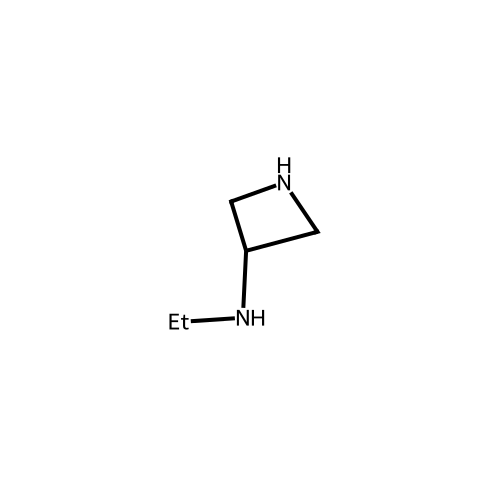 CCNC1CNC1